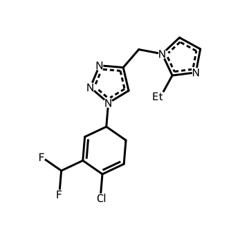 CCc1nccn1Cc1cn(C2C=C(C(F)F)C(Cl)=CC2)nn1